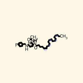 CC/C=C\C/C=C\C/C=C\C/C=C\C/C=C\CCCC(=O)Nc1ccc(NCc2ccc(F)cc2)nc1NC(C)=O